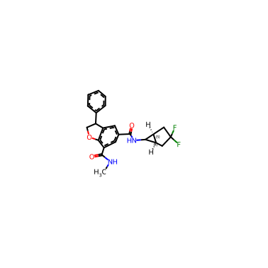 CNC(=O)c1cc(C(=O)NC2[C@H]3CC(F)(F)C[C@@H]23)cc2c1OCC2c1ccccc1